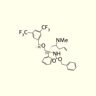 C=CCC(C[C@](CO[C@H](C)c1cc(C(F)(F)F)cc(C(F)(F)F)c1)(NC(=O)OCc1ccccc1)c1ccccc1)NC